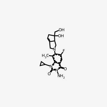 Cc1c(N2CC3=CCC(O)(CO)C3C2)c(F)cc2c(=O)n(N)c(=O)n(C3CC3)c12